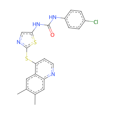 Cc1cc2nccc(Sc3ncc(NC(=O)Nc4ccc(Cl)cc4)s3)c2cc1C